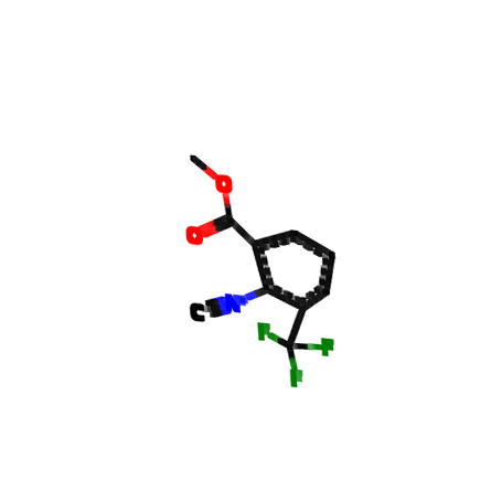 [C-]#[N+]c1c(C(=O)OC)cccc1C(F)(F)F